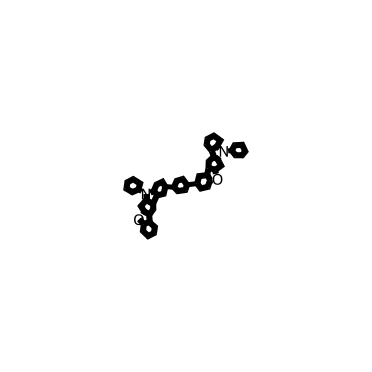 c1ccc(-n2c3ccccc3c3cc4c(cc32)oc2ccc(-c3ccc(-c5ccc6c(c5)c5cc7c(cc5n6-c5ccccc5)oc5ccccc57)cc3)cc24)cc1